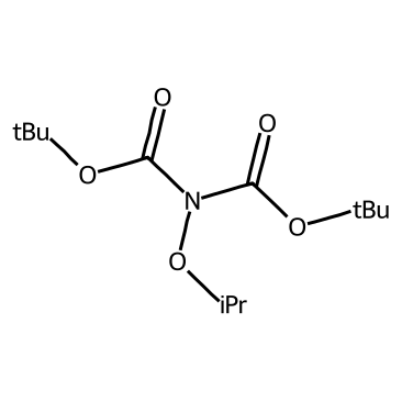 CC(C)ON(C(=O)OC(C)(C)C)C(=O)OC(C)(C)C